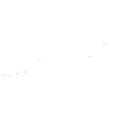 CO[C@H]1CCCN(c2cccc(-c3csc(N)n3)c2)C1